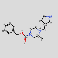 C[C@H]1CN(C(=O)OCc2ccccc2)CCN1C[C@H]1CCNC1